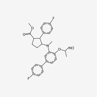 COC(=O)C1CCC(N(C)c2cc(-c3ccc(F)cc3)ccc2OC(C)C)C1c1ccc(F)cc1.Cl